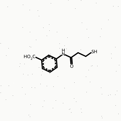 O=C(CCS)Nc1cccc(C(=O)O)c1